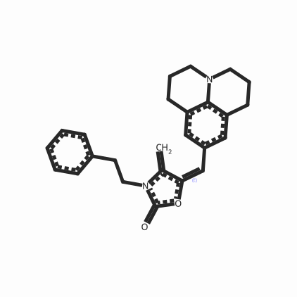 C=c1/c(=C\c2cc3c4c(c2)CCCN4CCC3)oc(=O)n1CCc1ccccc1